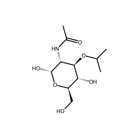 CC(=O)N[C@@H]1[C@@H](OC(C)C)[C@H](O)[C@@H](CO)O[C@@H]1O